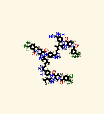 CNc1n[nH]c2cc(-n3c(=O)c4c(n5ncc(CC(C)CCc6nn[nH]c6-c6ccc(-n7c(=O)c8c(n9ncc(CC(C)CCc%10nn[nH]c%10-c%10ccc(-n%11c(=O)c%12c(n%13ncc(CC(C)C)c%11%13)CN(C(=O)c%11ccc(Cl)c(C(F)(F)F)c%11)[C@@H](C)C%12)cc%10)c79)CN(C(=O)c7ccc(Br)c(C(F)(F)F)c7)[C@@H](C)C8)cc6)c35)CN(C(=O)c3ccc(Br)c(C(F)(F)F)c3)[C@@H](C)C4)ccc12